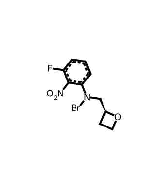 O=[N+]([O-])c1c(F)cccc1N(Br)C[C@@H]1CCO1